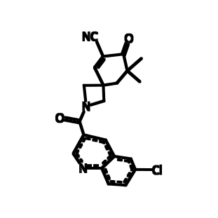 CC1(C)CC2(C=C(C#N)C1=O)CN(C(=O)c1cnc3ccc(Cl)cc3c1)C2